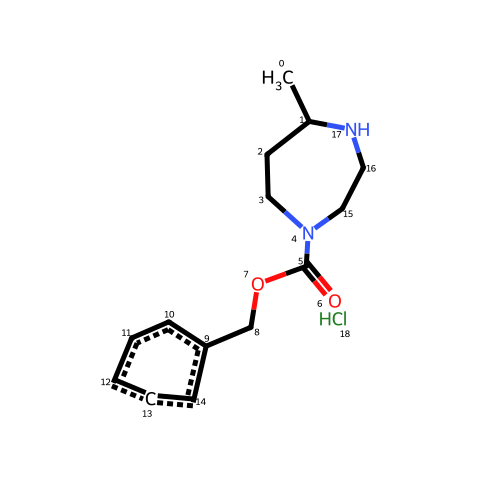 CC1CCN(C(=O)OCc2ccccc2)CCN1.Cl